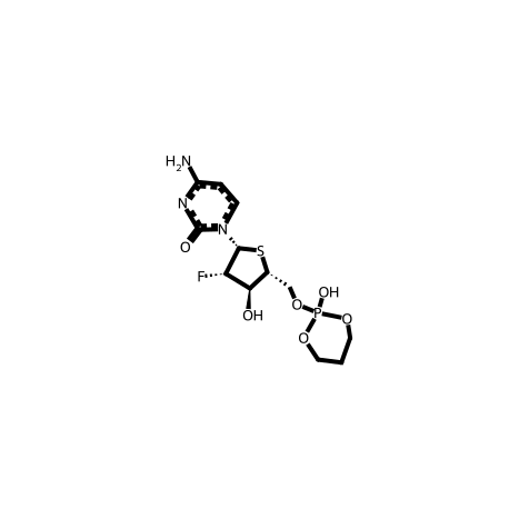 Nc1ccn([C@@H]2S[C@H](CO[P]3(O)OCCCO3)[C@@H](O)[C@@H]2F)c(=O)n1